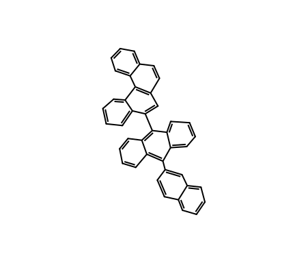 c1ccc2cc(-c3c4ccccc4c(-c4cc5ccc6ccccc6c5c5ccccc45)c4ccccc34)ccc2c1